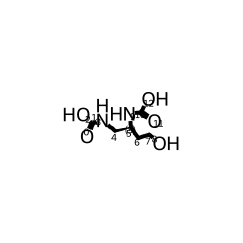 O=C(O)NC[C@H](CCO)NC(=O)O